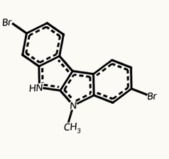 Cn1c2cc(Br)ccc2c2c3ccc(Br)cc3[nH]c21